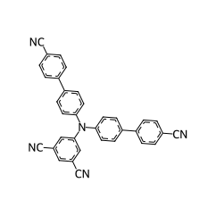 N#Cc1ccc(-c2ccc(N(c3ccc(-c4ccc(C#N)cc4)cc3)c3cc(C#N)cc(C#N)c3)cc2)cc1